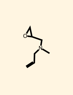 C=CCN(C)CC1CO1